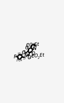 CCOC(=O)Oc1c2c(c(OC(=O)OCC)c3ncccc13)C(=O)N(Cc1ccc(F)cc1)C2=O